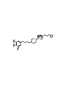 COCCC[Si@H]1CC[C@H]([C@H]2CC[C@H](CCCCc3cc(F)c(F)c(F)c3)CC2)CC1